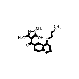 COCCOc1ccnc2ccc(C(=O)c3c(C)nn(C)c3O)cc12